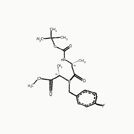 COC(=O)[C@H](C)N(Cc1ccc(F)cc1)C(=O)[C@@H](C)NC(=O)OC(C)(C)C